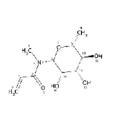 C=CC(=O)N(C)[C@@H]1O[C@H](C)[C@@H](O)[C@H](O)[C@@H]1O